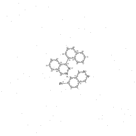 CC(C)c1ccc2cnncc2c1.c1ccc2c(-c3nncc4ccccc34)cccc2c1